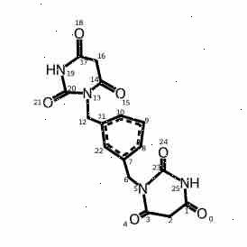 O=C1CC(=O)N(Cc2cccc(CN3C(=O)CC(=O)NC3=O)c2)C(=O)N1